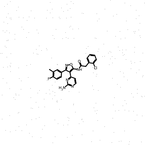 Cc1cc(-c2noc(NC(=O)Cc3ccccc3Cl)c2-c2ccnc(N)n2)ccc1F